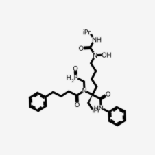 CC(C)C[C@@](CCCCN(O)C(=O)NC(C)C)(C(=O)Nc1ccccc1)N(C[PH2]=O)C(=O)CCCc1ccccc1